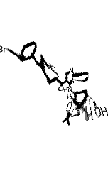 CC1(C)O[C@@H]2[C@@H](CO)C[C@@H](Nc3ncncc3C(=O)c3cc(Cc4cccc(Br)c4)cs3)[C@@H]2O1